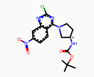 CC(C)(C)OC(=O)N[C@@H]1CCN(c2nc(Cl)nc3cc([N+](=O)[O-])ccc23)C1